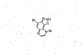 Brc1cc2c(c3c1=NNS3)N(Br)C=CN=2